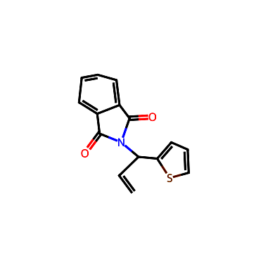 C=CC(c1cccs1)N1C(=O)c2ccccc2C1=O